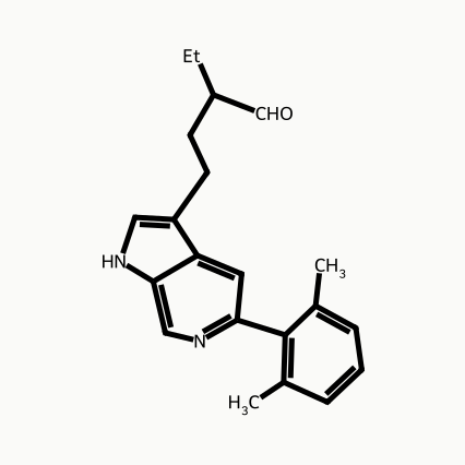 CCC(C=O)CCc1c[nH]c2cnc(-c3c(C)cccc3C)cc12